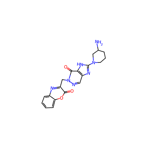 NC1CCCN(c2nc3cnn(Cc4nc5ccccc5oc4=O)c(=O)c3[nH]2)C1